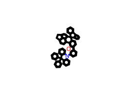 c1ccc(C2(c3ccccc3)c3ccccc3N(c3cccc4c3oc3c5c(ccc34)C3(c4ccccc4-c4ccccc43)c3ccc4c6c(ccc-5c36)CC4)c3ccccc32)cc1